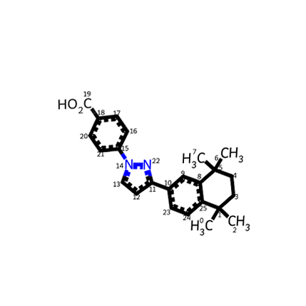 CC1(C)CCC(C)(C)c2cc(-c3ccn(-c4ccc(C(=O)O)cc4)n3)ccc21